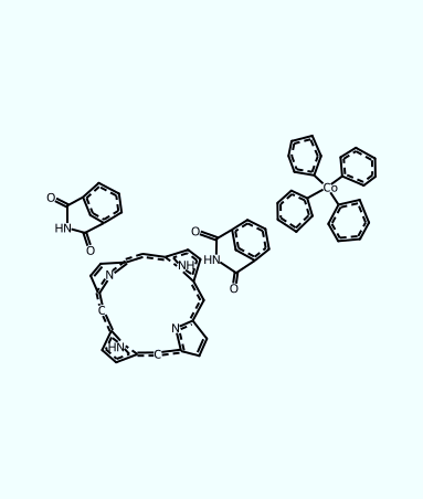 C1=Cc2cc3ccc(cc4nc(cc5ccc(cc1n2)[nH]5)C=C4)[nH]3.O=C1NC(=O)c2cccc1c2.O=C1NC(=O)c2cccc1c2.c1cc[c]([Co]([c]2ccccc2)([c]2ccccc2)[c]2ccccc2)cc1